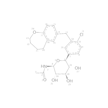 CC(=O)N[C@H]1O[C@@H](c2ccc(Cl)c(Cc3ccc4c(c3)CCCCO4)c2)[C@H](O)[C@@H](O)[C@@H]1O